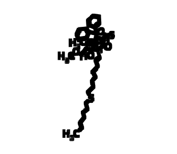 CCCCCCCSCCCCCCC=C[C@H](C(=O)N1C(=S)OC(c2ccccc2)(c2ccccc2)[C@@H]1C(C)C)[C@@](O)(CCOC)C(=O)O